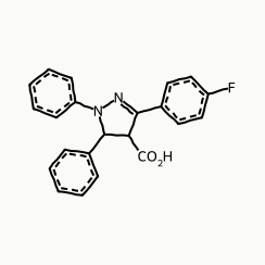 O=C(O)C1C(c2ccc(F)cc2)=NN(c2ccccc2)C1c1ccccc1